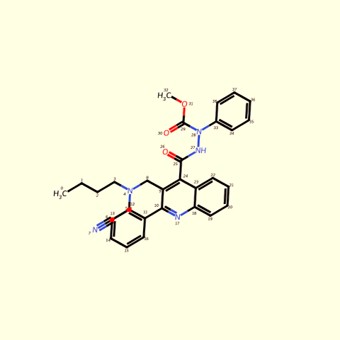 CCCCN(CC#N)Cc1c(-c2ccccc2)nc2ccccc2c1C(=O)NN(C(=O)OC)c1ccccc1